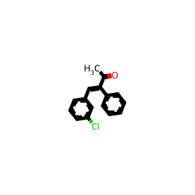 CC(=O)/C(=C/c1cccc(Cl)c1)c1ccccc1